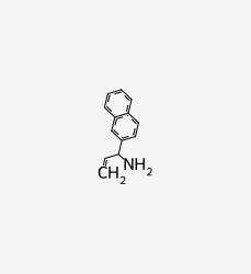 C=CC(N)c1ccc2ccccc2c1